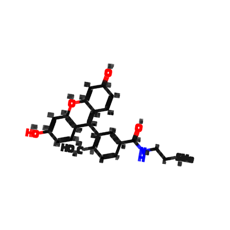 CSCCNC(=O)c1ccc(C(=O)O)c(-c2c3ccc(=O)cc-3oc3cc(O)ccc23)c1